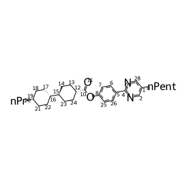 CCCCCc1cnc(-c2ccc(OC(=O)[C@H]3CC[C@H]([C@H]4CC[C@H](CCC)CC4)CC3)cc2)nc1